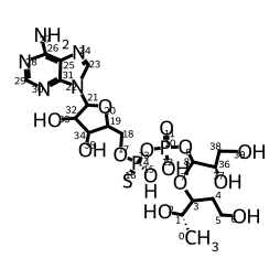 C[C@H](O)C(CCO)OC(OP(=O)(O)OP(O)(=S)OCC1OC(n2cnc3c(N)ncnc32)C(O)C1O)[C@H](O)CO